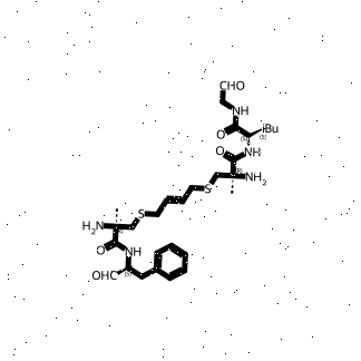 CC[C@H](C)[C@H](NC(=O)[C@@](C)(N)CSCC=CCSC[C@](C)(N)C(=O)N[C@H](C=O)Cc1ccccc1)C(=O)NCC=O